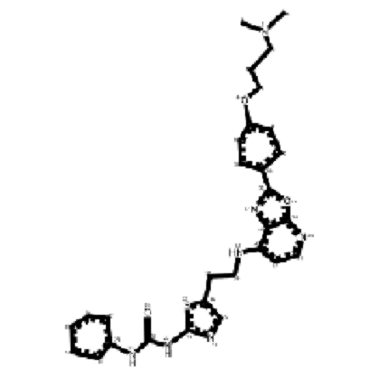 CN(C)CCCOc1ccc(-c2nc3c(NCCc4cnc(NC(=O)Nc5ccccc5)s4)ccnc3o2)cc1